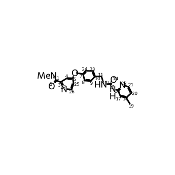 CNC(=O)c1cc(Oc2ccc(CNC(=O)Nc3cc(C)ccn3)cc2)ccn1